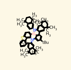 Cc1cc2c(cc1N1c3cc(C(C)(C)C)cc4c3B(c3ccc5sc6ccccc6c5c31)N(c1ccc3c(c1)C(C)(C)CCC3(C)C)c1cc3c(cc1-4)C(C)(C)CCC3(C)C)C(C)(C)CCC2(C)C